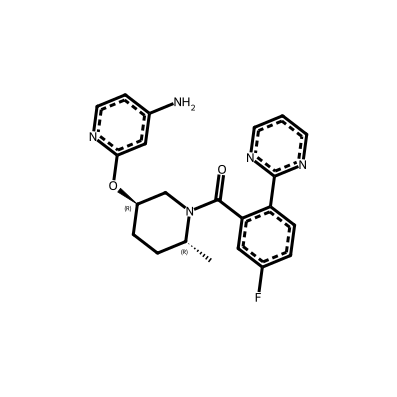 C[C@@H]1CC[C@@H](Oc2cc(N)ccn2)CN1C(=O)c1cc(F)ccc1-c1ncccn1